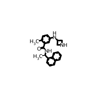 Cc1ccc(NC2CNC2)cc1C(=O)N[C@H](C)c1cccc2ccccc12